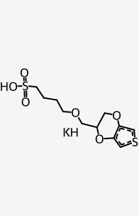 O=S(=O)(O)CCCCOCC1COc2cscc2O1.[KH]